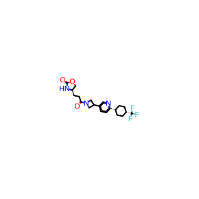 O=C1N[C@H](CCC(=O)N2CC(c3ccc([C@H]4CC[C@@H](C(F)(F)F)CC4)nc3)C2)CO1